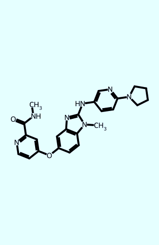 CNC(=O)c1cc(Oc2ccc3c(c2)nc(Nc2ccc(N4CCCC4)nc2)n3C)ccn1